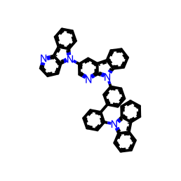 c1cc(-c2ccccc2-n2c3ccccc3c3ccccc32)cc(-n2c3ccccc3c3cc(-n4c5ccccc5c5ncccc54)cnc32)c1